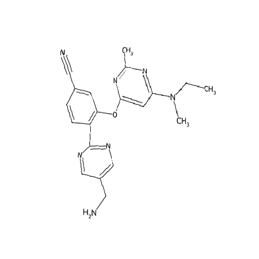 CCN(C)c1cc(Oc2cc(C#N)ccc2-c2ncc(CN)cn2)nc(C)n1